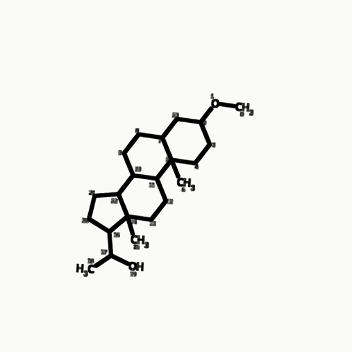 COC1CCC2(C)C(CCC3C2CCC2(C)C(C(C)O)CCC32)C1